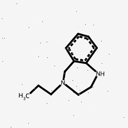 CCCN1C[CH]Nc2ccccc2C1